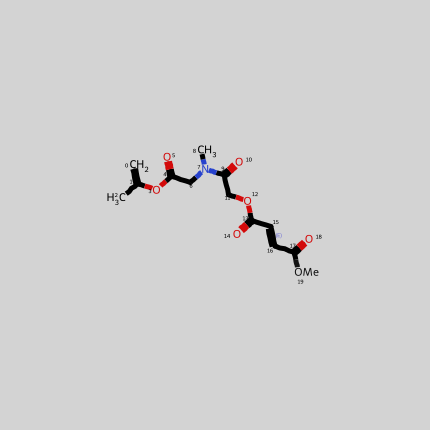 C=C(C)OC(=O)CN(C)C(=O)COC(=O)/C=C/C(=O)OC